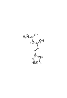 NC(=O)OC(O)CCc1c[nH]cn1